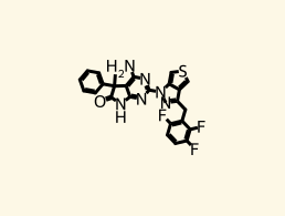 CC1(c2ccccc2)C(=O)Nc2nc(-n3nc(Cc4c(F)ccc(F)c4F)c4cscc43)nc(N)c21